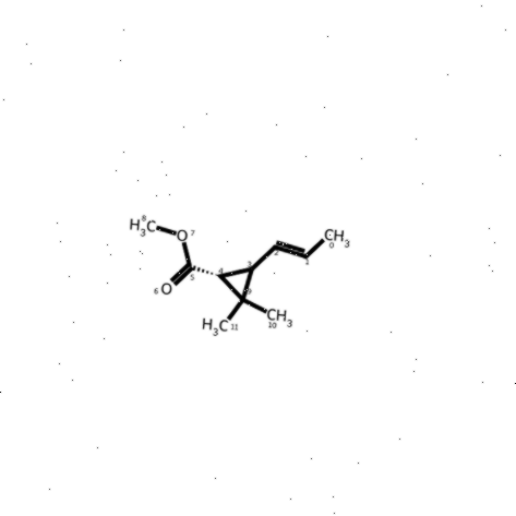 CC=CC1[C@@H](C(=O)OC)C1(C)C